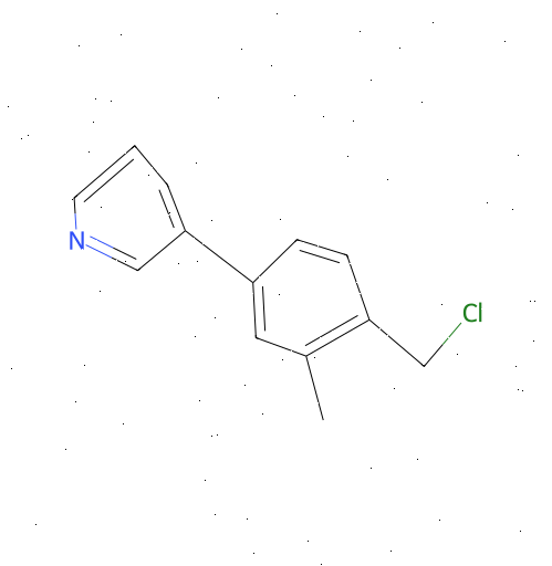 Cc1cc(-c2cccnc2)ccc1CCl